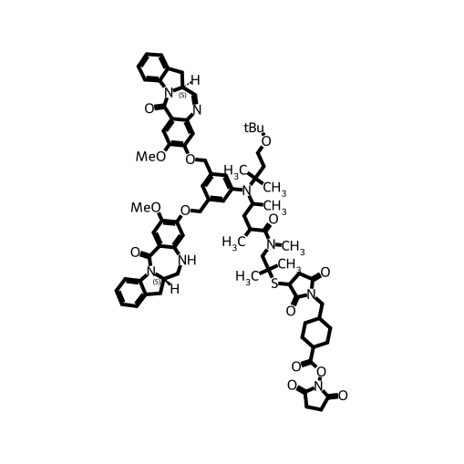 COc1cc2c(cc1OCc1cc(COc3cc4c(cc3OC)C(=O)N3c5ccccc5C[C@H]3CN4)cc(N(C(C)CC(C)C(=O)N(C)CC(C)(C)SC3CC(=O)N(CC4CCC(C(=O)ON5C(=O)CCC5=O)CC4)C3=O)C(C)(C)CCOC(C)(C)C)c1)N=C[C@@H]1Cc3ccccc3N1C2=O